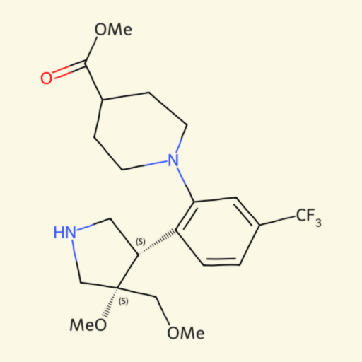 COC[C@@]1(OC)CNC[C@@H]1c1ccc(C(F)(F)F)cc1N1CCC(C(=O)OC)CC1